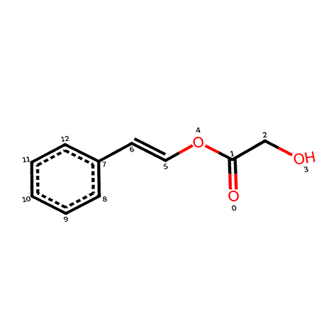 O=C(CO)OC=Cc1ccccc1